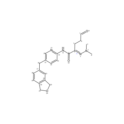 CN(C)/N=C(\CCC=O)C(=O)Nc1ccc(Cc2ccc3c(c2)COC3)cn1